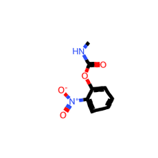 CNC(=O)Oc1ccccc1[N+](=O)[O-]